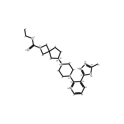 CCOC(=O)N1CC2(CC[C@@H](N3CCN(c4ncccc4-c4nnc(C)o4)CC3)C2)C1